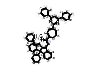 C=N/C(=C\C1=C(C=Cc2ccccc2)C(C2=CC=CCC2)(c2ccccc2)c2ccccc21)C1=CC=C(c2nc(-c3ccccc3)cc(-c3ccccc3)n2)C=CC1